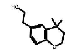 CC1(C)CCOc2ccc(CCO)cc21